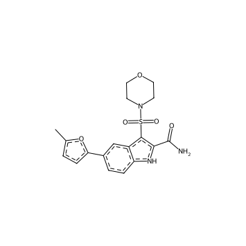 Cc1ccc(-c2ccc3[nH]c(C(N)=O)c(S(=O)(=O)N4CCOCC4)c3c2)o1